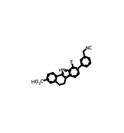 [C-]#[N+]Cc1cccc(-c2ccc3c4c([nH]c3c2F)-c2ccc(C(=O)O)cc2CC4)c1